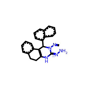 C=NN1/C(=N\N)NC2=C(c3ccccc3CC2)C1c1cccc2ccccc12